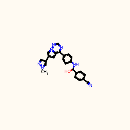 Cn1cc(-c2cc3c(-c4ccc(NC(O)c5ccc(C#N)cc5)cc4)ncnn3c2)cn1